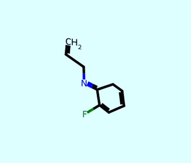 C=CCN=C1CC=CC=C1F